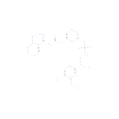 CC(C)(Cc1cccc(CC(=O)Nc2nccc3ccccc23)c1)NCC(O)c1ccc(O)c(CO)n1